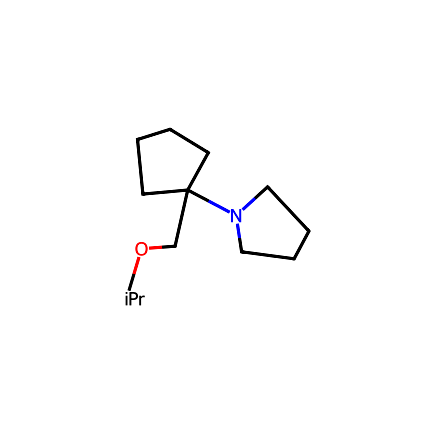 CC(C)OCC1(N2CCCC2)CCCC1